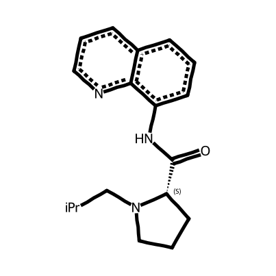 CC(C)CN1CCC[C@H]1C(=O)Nc1cccc2cccnc12